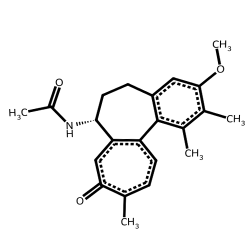 COc1cc2c(c(C)c1C)-c1ccc(C)c(=O)cc1[C@H](NC(C)=O)CC2